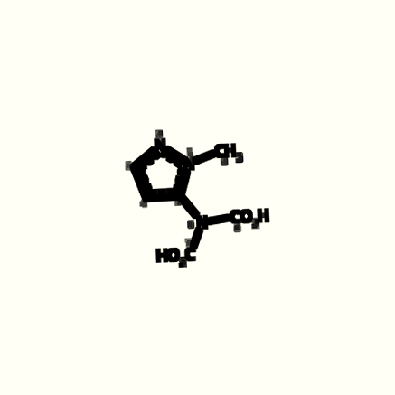 Cn1nccc1N(C(=O)O)C(=O)O